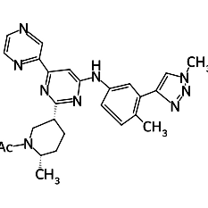 CC(=O)N1C[C@H](c2nc(Nc3ccc(C)c(-c4cn(C)nn4)c3)cc(-c3cnccn3)n2)CC[C@@H]1C